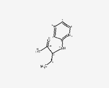 CCC(Nc1cnccn1)C(=O)O